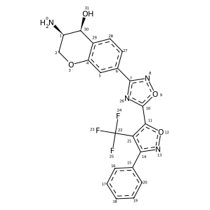 N[C@@H]1COc2cc(-c3noc(-c4onc(-c5ccccc5)c4C(F)(F)F)n3)ccc2[C@@H]1O